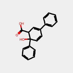 O=C(O)C1C=C(c2ccccc2)C=CC1(O)c1ccccc1